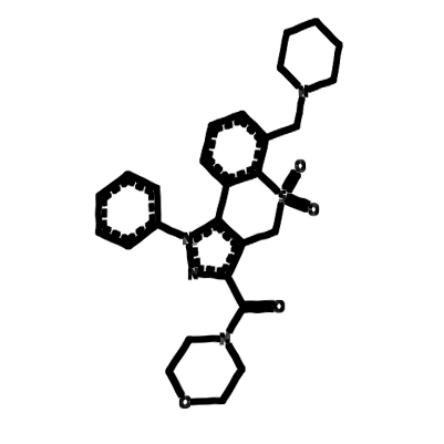 O=C(c1nn(-c2ccccc2)c2c1CS(=O)(=O)c1c(CN3CCCCC3)cccc1-2)N1CCOCC1